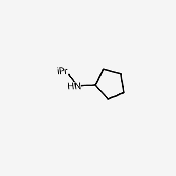 [CH2]C(C)NC1CCCC1